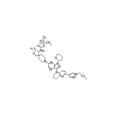 CCn1cc(-c2ccc3c(n2)CCCN3c2nn(C3CCCCO3)c3nc(N4CCC5(CC4)CO[C@@H](C)[C@H]5NC(=O)OC(C)(C)C)cnc23)cn1